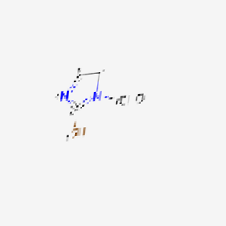 O=Cn1ccnc1S